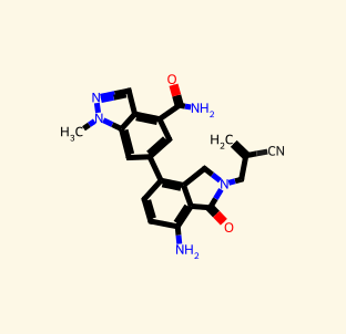 C=C(C#N)CN1Cc2c(-c3cc(C(N)=O)c4cnn(C)c4c3)ccc(N)c2C1=O